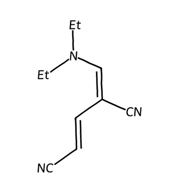 CCN(C=C(C#N)C=CC#N)CC